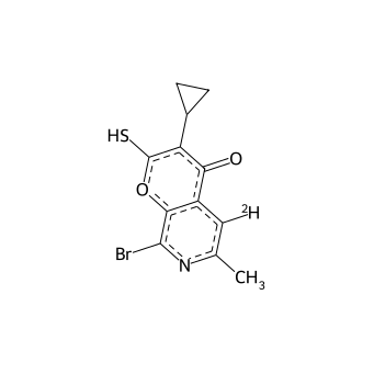 [2H]c1c(C)nc(Br)c2oc(S)c(C3CC3)c(=O)c12